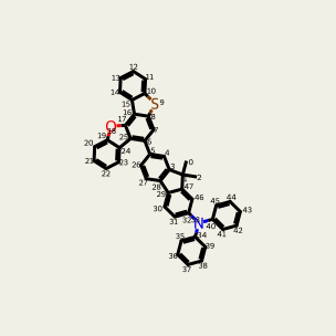 CC1(C)c2cc(-c3cc4sc5ccccc5c4c4oc5ccccc5c34)ccc2-c2ccc(N(c3ccccc3)c3ccccc3)cc21